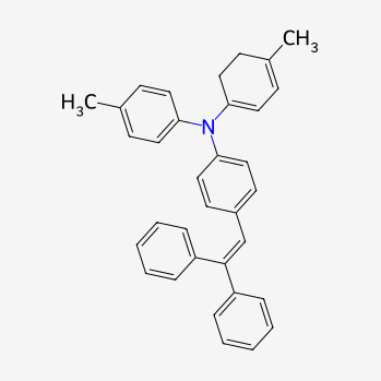 CC1=CC=C(N(c2ccc(C)cc2)c2ccc(C=C(c3ccccc3)c3ccccc3)cc2)CC1